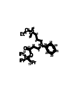 CCO[Si](C)(C)CCCN(CCC(=O)O[Si](C(C)C)(C(C)C)C(C)C)c1ccccc1